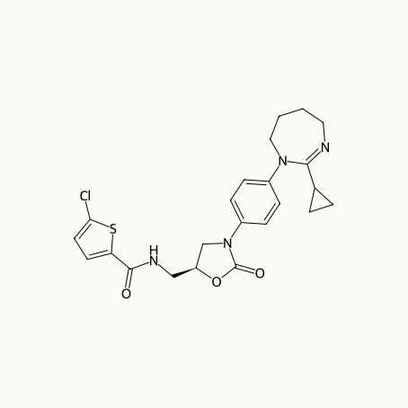 O=C(NC[C@H]1CN(c2ccc(N3CCCCN=C3C3CC3)cc2)C(=O)O1)c1ccc(Cl)s1